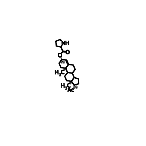 CC(=O)[C@H]1CCC2C3CCC4=C[C@@H](OC(=O)C5CCCN5)CC[C@]4(C)C3CC[C@@]21C